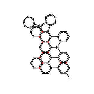 Fc1cccc(-c2cccc3cccc(-c4ccccc4N(c4cc(-c5ccccc5)cc(-c5ccccc5)c4)c4ccccc4-c4cccc5c4c4ccccc4n5-c4ccccc4)c23)c1